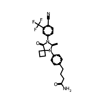 C=C1N(c2ccc(C#N)c(C(F)(F)F)c2)C(=O)C2(CCC2)N1c1ccc(CCCC(N)=O)cc1